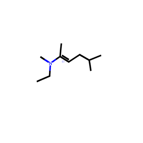 CCN(C)/C(C)=C/CC(C)C